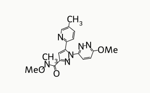 COc1ccc(-n2nc(C(=O)N(C)OC)cc2-c2ccc(C)cn2)nn1